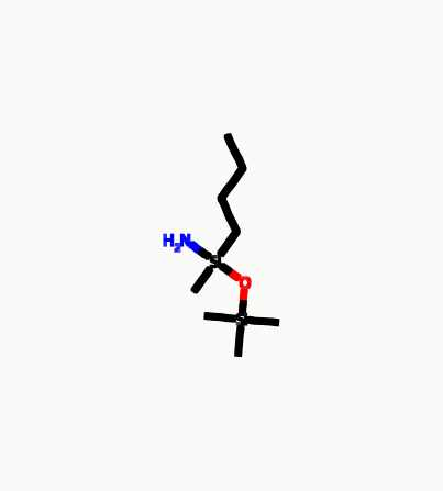 CCCC[Si](C)(N)O[Si](C)(C)C